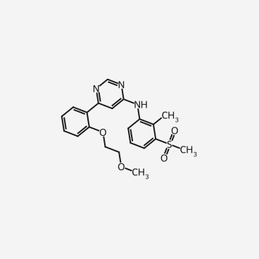 COCCOc1ccccc1-c1cc(Nc2cccc(S(C)(=O)=O)c2C)ncn1